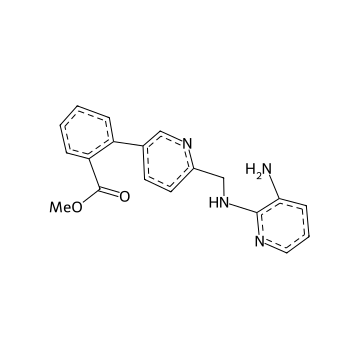 COC(=O)c1ccccc1-c1ccc(CNc2ncccc2N)nc1